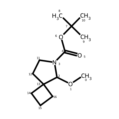 COC1N(C(=O)OC(C)(C)C)CCC12CCC2